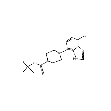 CC(C)(C)OC(=O)N1CCN(c2ccc(Br)c3cc[nH]c23)CC1